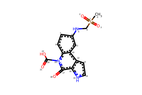 CS(=O)(=O)CNc1ccc2c(c1)c1cc[nH]c1c(=O)n2C(=O)O